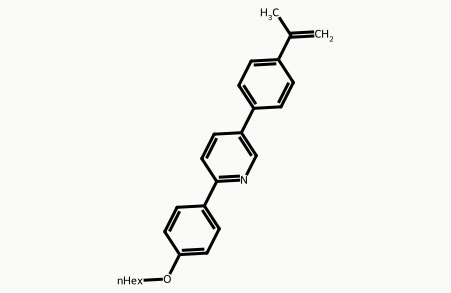 C=C(C)c1ccc(-c2ccc(-c3ccc(OCCCCCC)cc3)nc2)cc1